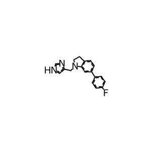 Fc1ccc(-c2ccc3c(c2)N(Cc2c[nH]cn2)CC3)cc1